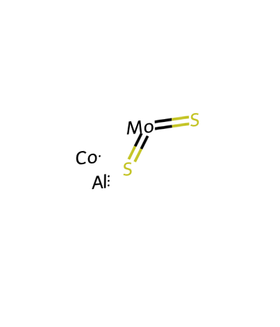 [Al].[Co].[S]=[Mo]=[S]